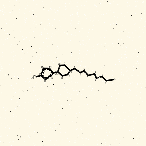 CCCCCCCCCC1CCC(c2ccc(F)cc2)CC1